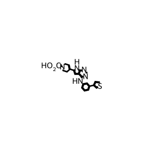 O=C(O)N1CC=C(c2cc3c(Nc4cccc(-c5ccsc5)c4)ncnc3[nH]2)CC1